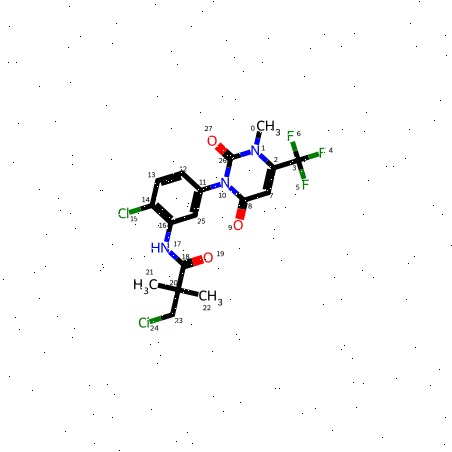 Cn1c(C(F)(F)F)cc(=O)n(-c2ccc(Cl)c(NC(=O)C(C)(C)CCl)c2)c1=O